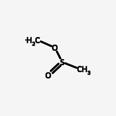 [CH2]OS(C)=O